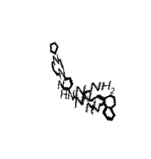 Nc1nc(Nc2ccc(N3CCCN(C4CCCC4)CC3)nc2)nn1-c1cc2c(nn1)-c1ccccc1CCC2